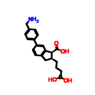 NCc1ccc(-c2ccc3c(c2)[C@@H](C(=O)O)[C@@H](CCCB(O)O)C3)cc1